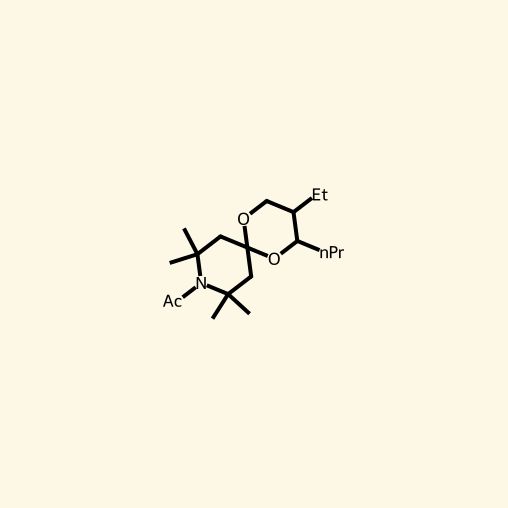 CCCC1OC2(CC(C)(C)N(C(C)=O)C(C)(C)C2)OCC1CC